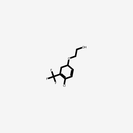 OCCOC1C=CC(Cl)=C(C(F)(F)F)C1